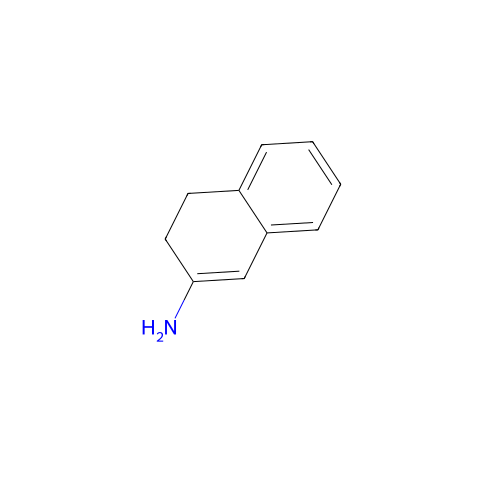 NC1=Cc2ccccc2CC1